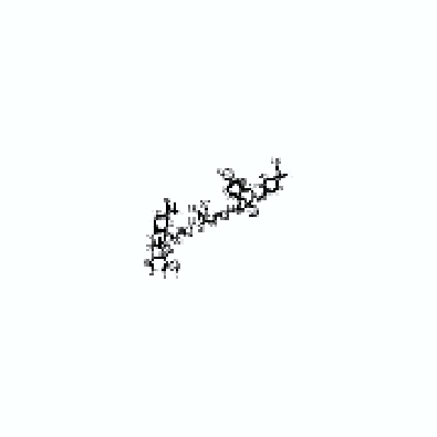 COc1cccc(CN(Cc2ccc(N(C)C)cc2)C(=O)OCCOCCC(CCOCCOC(=O)N(Cc2ccc(N(C)C)cc2)Cc2cccc(OC)c2)N(C)C)c1